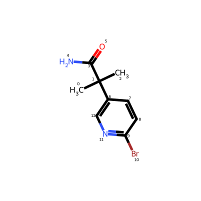 CC(C)(C(N)=O)c1ccc(Br)nc1